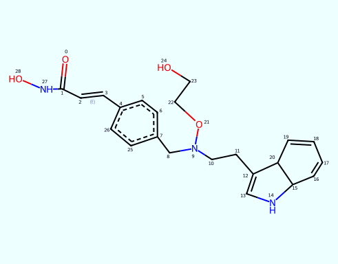 O=C(/C=C/c1ccc(CN(CCC2=CNC3C=CC=CC23)OCCO)cc1)NO